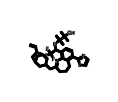 C=CC1CC2CC(CC3=Nc4c(C(OC(C)(C)C(C)(C)O)C(F)(F)F)ccc(-c5nccs5)c4CCC3)CC1C2